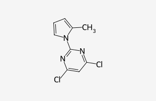 Cc1cccn1-c1nc(Cl)cc(Cl)n1